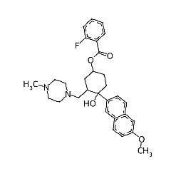 COc1ccc2cc(C3(O)CCC(OC(=O)c4ccccc4F)CC3CN3CCN(C)CC3)ccc2c1